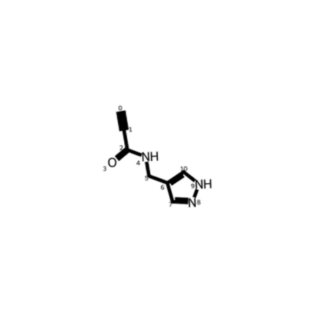 C#CC(=O)NCc1cn[nH]c1